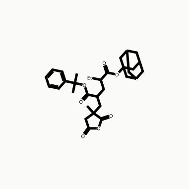 CCC(CC(CC1(C)CC(=O)OC1=O)C(=O)OC(C)(C)c1ccccc1)C(=O)OC12CC3CC(CC(C3)C1)C2